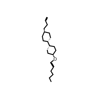 C=CCC[C@H]1CC[C@H]([C@H]2CC[C@H](OC=CCCCC)CC2)CC1